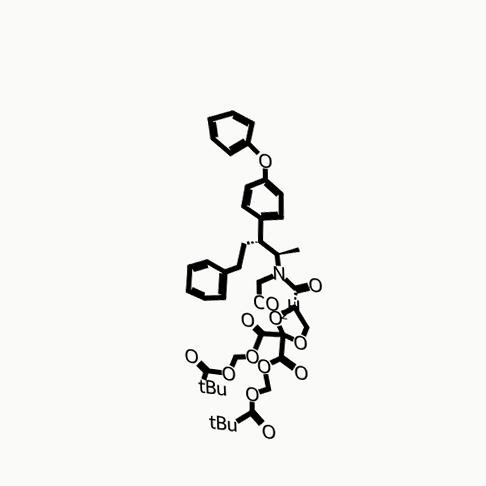 C[C@H]([C@H](CCc1ccccc1)c1ccc(Oc2ccccc2)cc1)N(CC(=O)O)C(=O)[C@@H]1COC(C(=O)OCOC(=O)C(C)(C)C)(C(=O)OCOC(=O)C(C)(C)C)O1